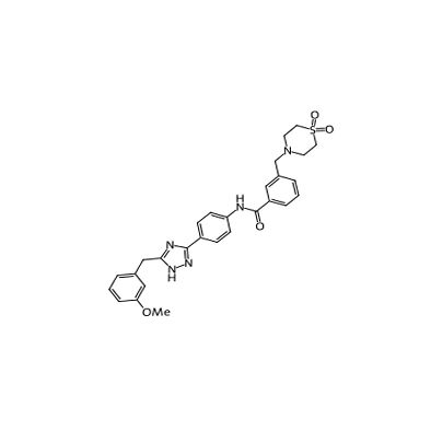 COc1cccc(Cc2nc(-c3ccc(NC(=O)c4cccc(CN5CCS(=O)(=O)CC5)c4)cc3)n[nH]2)c1